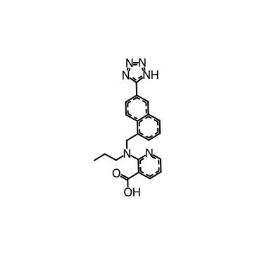 CCCN(Cc1cccc2cc(-c3nnn[nH]3)ccc12)c1ncccc1C(=O)O